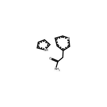 NC(=O)Cc1cccnc1.c1cc[nH]c1